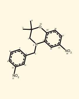 CC1(C)CN(Cc2cccc([N+](=O)[O-])c2)c2cc([N+](=O)[O-])ccc2O1